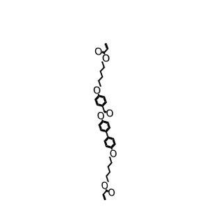 C=CC(=O)OCCCCCCOc1ccc(C(=O)Oc2ccc(-c3ccc(OCCCCCCOC(=O)C=C)cc3)cc2)cc1